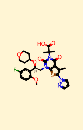 COc1ccc(F)cc1[C@H](Cn1c(=O)n(C(C)(C)C(=O)O)c(=O)c2c(C)c(-n3cccn3)sc21)OC1CCOCC1